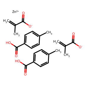 C=C(C)C(=O)[O-].C=C(C)C(=O)[O-].Cc1ccc(C(=O)O)cc1.Cc1ccc(C(=O)O)cc1.[Zn+2]